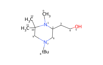 CN1C(CCO)CN(C(C)(C)C)CC1(C)C